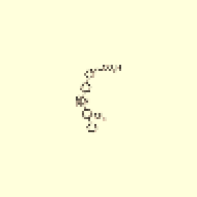 O=C(O)CCN1CCC(c2ccc(-c3nc(-c4ccc(-c5ccccc5)c(C(F)(F)F)c4)no3)cc2)C1